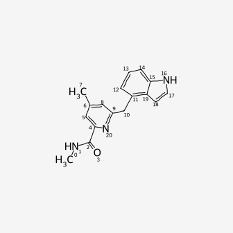 CNC(=O)c1cc(C)cc(Cc2cccc3[nH]ccc23)n1